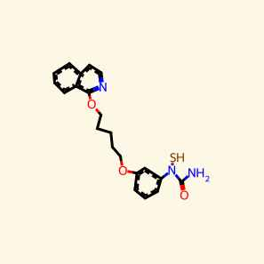 NC(=O)N(S)c1cccc(OCCCCCOc2nccc3ccccc23)c1